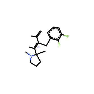 C=C(C)/C(Cc1cccc(F)c1F)=C(\C)C1(C)CCCN1C